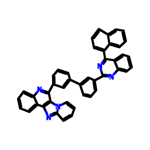 c1cc(-c2cccc(-c3nc4ccccc4c4nc5ccccn5c34)c2)cc(-c2nc(-c3cccc4ccccc34)c3ccccc3n2)c1